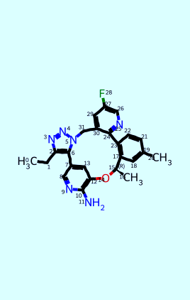 CCc1nnn2c1-c1cnc(N)c(c1)O[C@H](C)c1cc(C)ccc1-c1ncc(F)cc1C2